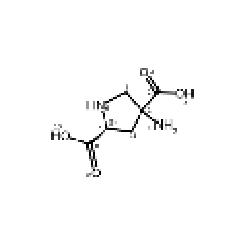 NC1(C(=O)O)CN[C@H](C(=O)O)C1